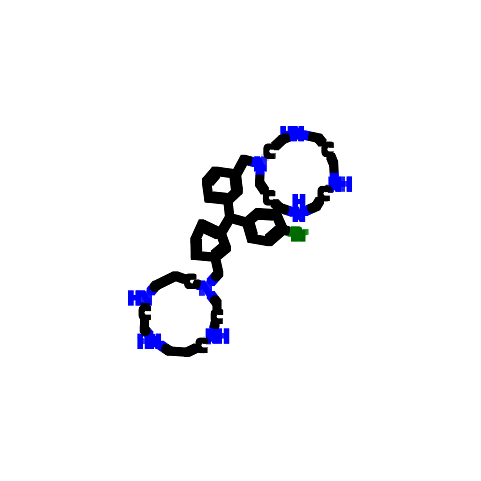 Brc1ccc(C(c2cccc(CN3CCCNCCNCCCNCC3)c2)c2cccc(CN3CCCNCCNCCCNCC3)c2)cc1